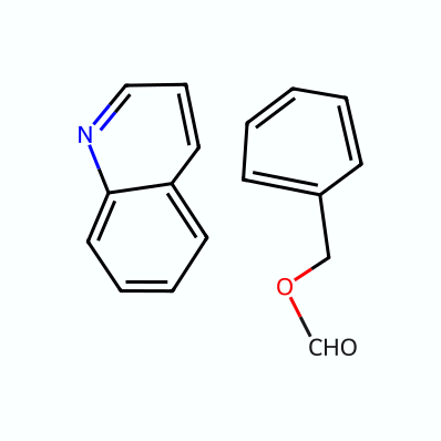 O=COCc1ccccc1.c1ccc2ncccc2c1